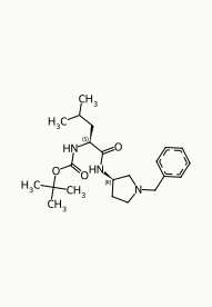 CC(C)C[C@H](NC(=O)OC(C)(C)C)C(=O)N[C@@H]1CCN(Cc2ccccc2)C1